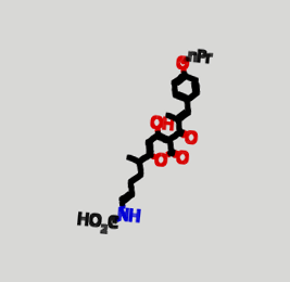 CCCOc1ccc(/C=C(\C)C(=O)c2c(O)cc(C(C)CC/C=C/NC(=O)O)oc2=O)cc1